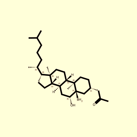 B[C@]12C[C@@H](CC(C)=O)CC[C@]1(C)[C@H]1CC[C@]3(C)[C@@H]([C@H](C)CCCC(C)C)CC[C@H]3[C@@H]1C[C@H]2O